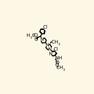 CC[C@H]1CN(c2ncc(NSOOC)cc2Cl)CCN1C1CCN(C(C(=O)OC)c2ccc(Cl)cc2)CC1